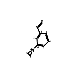 C=Cc1cccc(N2CC2)c1